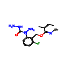 C/C=C(C)\C(=N/C(C)C)OCc1c(F)cccc1N(N)C(=O)NN